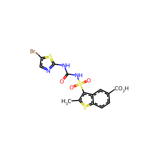 Cc1sc2ccc(C(=O)O)cc2c1S(=O)(=O)NC(=O)Nc1ncc(Br)s1